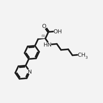 CCCCCN[C@@H](Cc1ccc(-c2ccccn2)cc1)C(=O)O